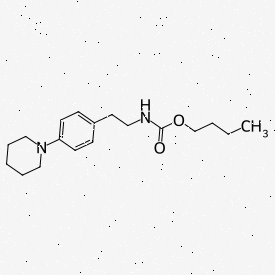 CCCCOC(=O)NCCc1ccc(N2CCCCC2)cc1